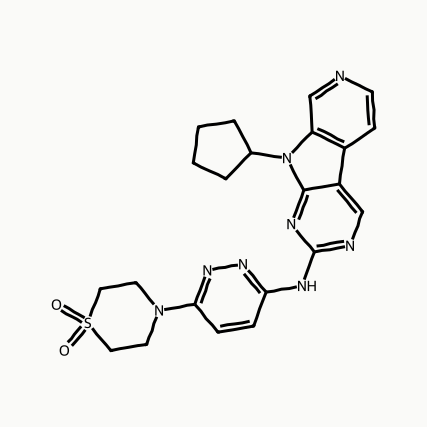 O=S1(=O)CCN(c2ccc(Nc3ncc4c5ccncc5n(C5CCCC5)c4n3)nn2)CC1